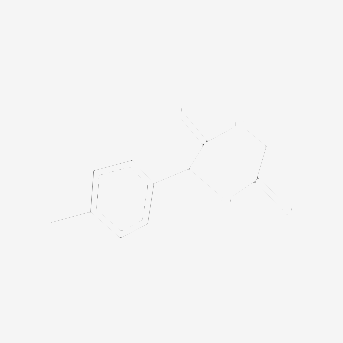 Cc1ccc(C2OC(=O)COC2=O)cc1